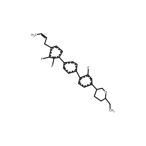 C/C=C\Cc1ccc(-c2ccc(-c3ccc(C4CCC(CC)OC4)cc3F)cc2)c(F)c1F